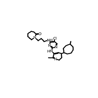 CC1=NCCC(C2CCCCC(C)CC2)C=C1Nc1ncc(Cl)c(NCCCN2CCCCCC2=O)n1